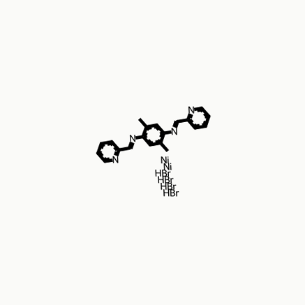 Br.Br.Br.Br.Cc1cc(N=Cc2ccccn2)c(C)cc1N=Cc1ccccn1.[Ni].[Ni]